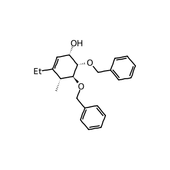 CCC1=C[C@H](O)[C@H](OCc2ccccc2)[C@@H](OCc2ccccc2)[C@@H]1C